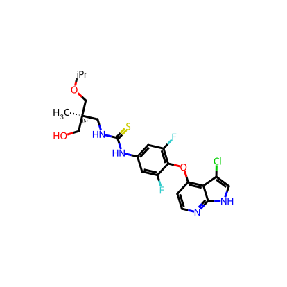 CC(C)OC[C@](C)(CO)CNC(=S)Nc1cc(F)c(Oc2ccnc3[nH]cc(Cl)c23)c(F)c1